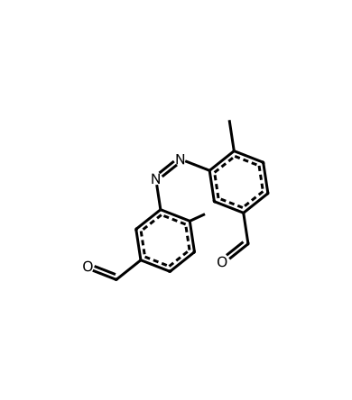 Cc1ccc(C=O)cc1/N=N\c1cc(C=O)ccc1C